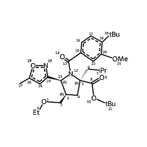 CCOC[C@@H]1C[C@](CC(C)C)(C(=O)OC(C)(C)C)N(C(=O)c2ccc(C(C)(C)C)c(OC)c2)[C@@H]1c1cc(C)on1